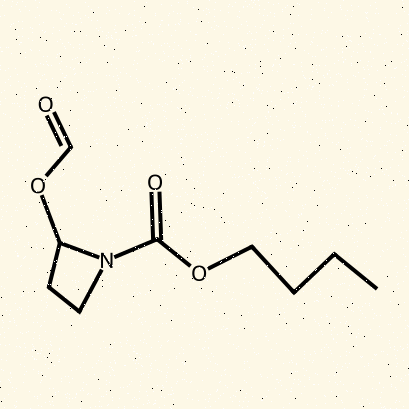 CCCCOC(=O)N1CCC1OC=O